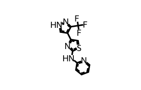 FC(F)(F)c1n[nH]cc1-c1csc(Nc2ccccn2)n1